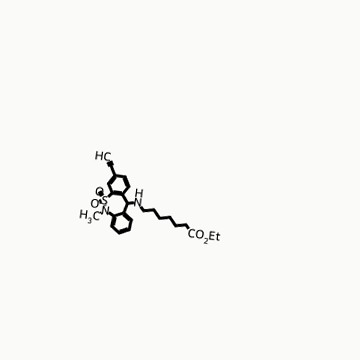 C#Cc1ccc2c(c1)S(=O)(=O)N(C)c1ccccc1C2NCCCCCCC(=O)OCC